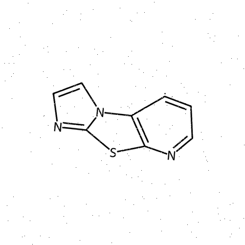 [c]1ccnc2sc3nccn3c12